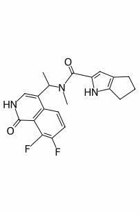 CC(c1c[nH]c(=O)c2c(F)c(F)ccc12)N(C)C(=O)c1cc2c([nH]1)CCC2